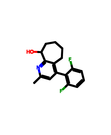 Cc1cc(-c2c(F)cccc2F)c2c(n1)C(O)CCCC2